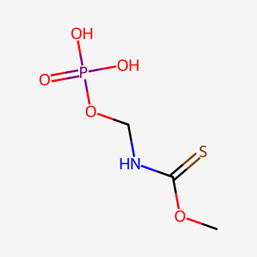 COC(=S)NCOP(=O)(O)O